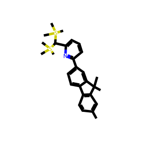 Cc1ccc2c(c1)C(C)(C)c1cc(-c3cccc(C(S(C)(C)C)S(C)(C)C)n3)ccc1-2